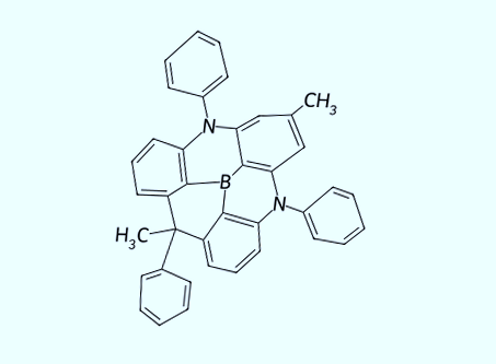 Cc1cc2c3c(c1)N(c1ccccc1)c1cccc4c1B3c1c(cccc1C4(C)c1ccccc1)N2c1ccccc1